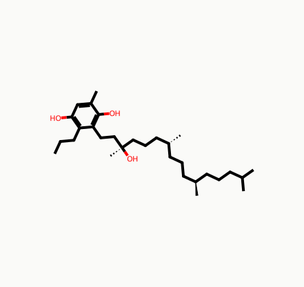 CCCc1c(O)cc(C)c(O)c1CC[C@](C)(O)CCC[C@H](C)CCC[C@H](C)CCCC(C)C